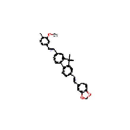 CCOc1cc(/C=C/c2ccc3c(c2)C(C)(C)c2cc(/C=C/c4ccc5c(c4)OCO5)ccc2-3)ccc1C